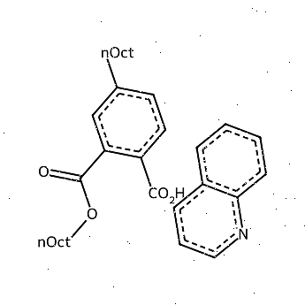 CCCCCCCCOC(=O)c1cc(CCCCCCCC)ccc1C(=O)O.c1ccc2ncccc2c1